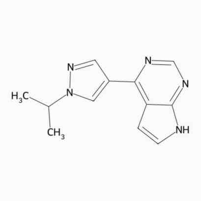 CC(C)n1cc(-c2ncnc3[nH]ccc23)cn1